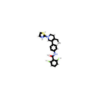 CC(C)CC1=C(c2ccc(NC(=O)c3c(F)cccc3F)cc2)CN(c2nccs2)CC1